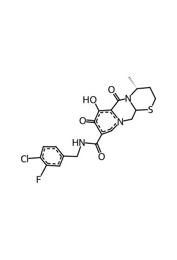 C[C@@H]1CCSC2Cn3cc(C(=O)NCc4ccc(Cl)c(F)c4)c(=O)c(O)c3C(=O)N21